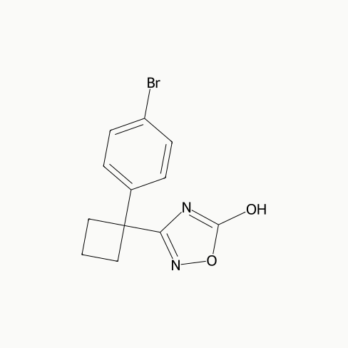 Oc1nc(C2(c3ccc(Br)cc3)CCC2)no1